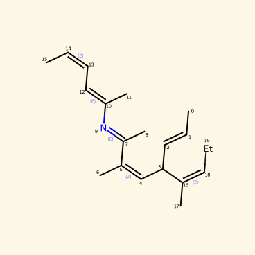 CC=CC(\C=C(C)/C(C)=N/C(C)=C/C=C\C)/C(C)=C\CC